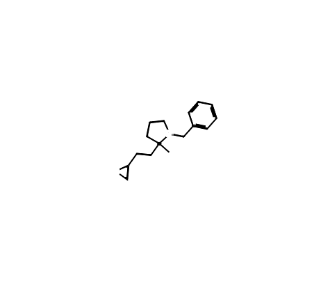 CC1(CCC2CO2)CCCN1Cc1ccccc1